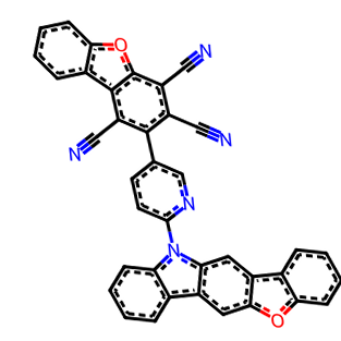 N#Cc1c(-c2ccc(-n3c4ccccc4c4cc5oc6ccccc6c5cc43)nc2)c(C#N)c2c(oc3ccccc32)c1C#N